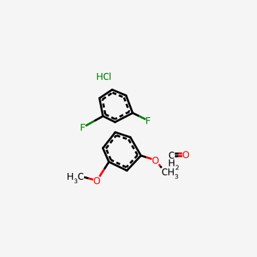 C=O.COc1cccc(OC)c1.Cl.Fc1cccc(F)c1